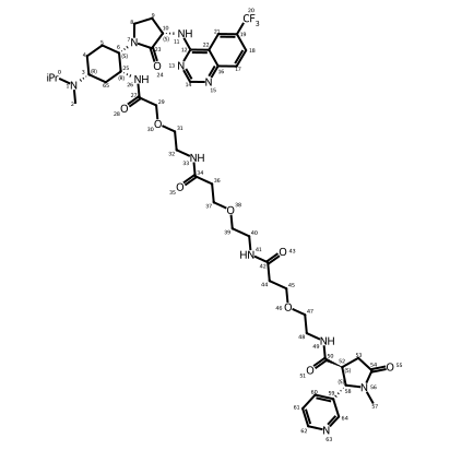 CC(C)N(C)[C@@H]1CC[C@H](N2CC[C@H](Nc3ncnc4ccc(C(F)(F)F)cc34)C2=O)[C@H](NC(=O)COCCNC(=O)CCOCCNC(=O)CCOCCNC(=O)[C@H]2CC(=O)N(C)[C@@H]2c2cccnc2)C1